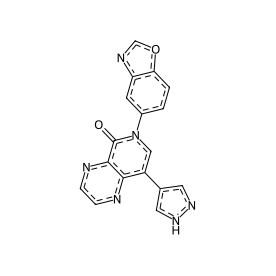 O=c1c2nccnc2c(-c2cn[nH]c2)cn1-c1ccc2ocnc2c1